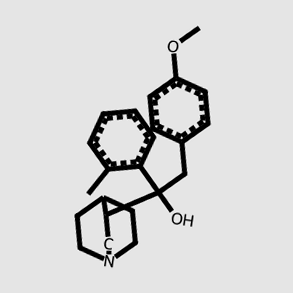 COc1ccc(CC(O)(c2ccccc2C)C2CN3CCC2CC3)cc1